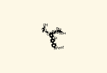 C=C(CO)C(=O)OCCOc1cc(OCCOC(=O)C(C)(C)CO)cc(-c2ccc(C3CCC(CCCCC)CC3)cc2CC)c1